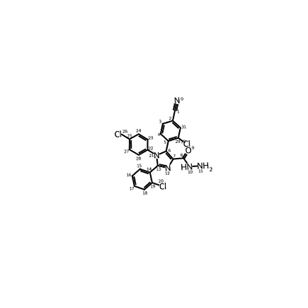 N#Cc1ccc(-c2c(C(=O)NN)nc(-c3ccccc3Cl)n2-c2ccc(Cl)cc2)c(Cl)c1